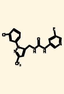 O=C(NCc1cc(C(F)(F)F)nn1-c1cccc(Cl)c1)Nc1cncc(F)c1